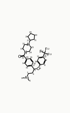 C[As](C)CCC(Oc1ccc(C(F)(F)F)cc1)c1ccc(C(=O)N2CCN(C3CCCC3)CC2)cc1